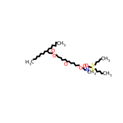 CCCCCCCCC(CCCCCC)CC(=O)OCCCCCC(=O)CCCCCOC(=O)CN(C)C(=O)C(SCCCCC)SCCCCC